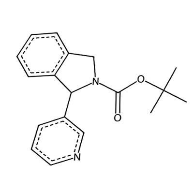 CC(C)(C)OC(=O)N1Cc2ccccc2C1c1cccnc1